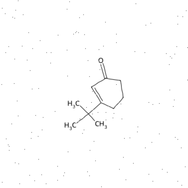 CC(C)(C)C1=CC(=O)CCC1